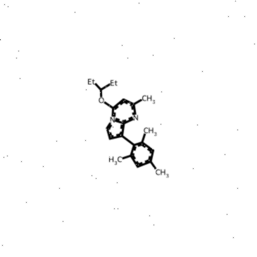 CCC(CC)Oc1cc(C)nc2c(-c3c(C)cc(C)cc3C)ccn12